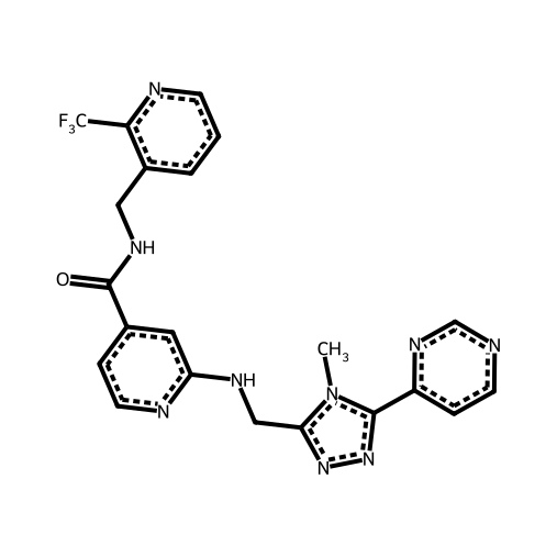 Cn1c(CNc2cc(C(=O)NCc3cccnc3C(F)(F)F)ccn2)nnc1-c1ccncn1